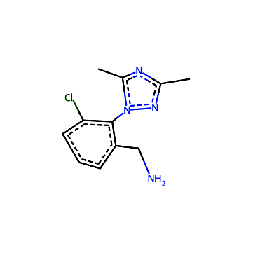 Cc1nc(C)n(-c2c(Cl)cccc2CN)n1